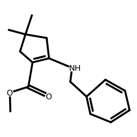 COC(=O)C1=C(NCc2ccccc2)CC(C)(C)C1